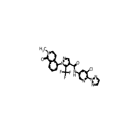 Cn1ccc2c(-n3ncc(C(=O)Nc4cnc(-n5nccn5)c(Cl)c4)c3C(F)(F)F)cccc2c1=O